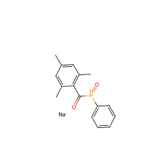 Cc1cc(C)c(C(=O)[PH](=O)c2ccccc2)c(C)c1.[Na]